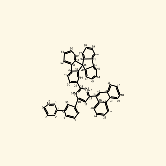 c1cncc(-c2cccc(-c3cc(-c4cc5ccccc5c5ccccc45)nc(-c4ccc5c(c4)C4(c6ccccc6-c6ccccc64)c4ccccc4-5)n3)c2)c1